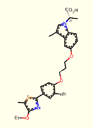 CCCc1cc(-c2nc(OCC)c(C)s2)ccc1OCCCOc1ccc2c(c1)c(C)cn2[C@@H](C)C(=O)O